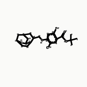 CC(C)(C)OC(=O)c1cc(Cl)c(OCC2CC3CC4CCC2C(C4)C3)cc1F